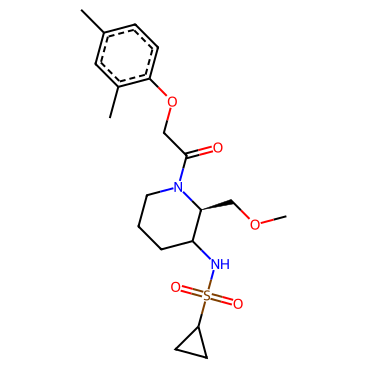 COC[C@H]1C(NS(=O)(=O)C2CC2)CCCN1C(=O)COc1ccc(C)cc1C